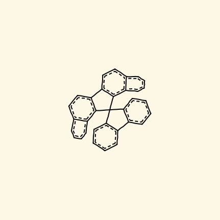 c1ccc2c(c1)-c1ccccc1C21c2c(ccc3ccccc23)-c2ccc3ccccc3c21